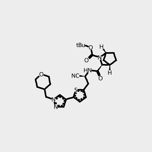 CC(C)(C)OC(=O)N1[C@@H]2CC[C@@H](C2)[C@H]1C(=O)N[C@H](C#N)Cc1ccc(-c2cnn(CC3CCOCC3)c2)s1